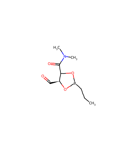 CCCB1OC(C(=O)N(C)C)[C@H](C=O)O1